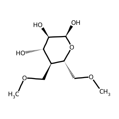 COC[C@H]1[C@H](O)[C@@H](O)[C@@H](O)O[C@@H]1COC